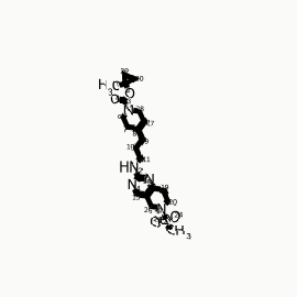 CC1(OC(=O)N2CCC(CCCNc3ncc4c(n3)CCN(S(C)(=O)=O)C4)CC2)CC1